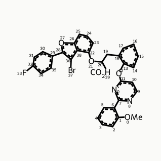 COc1ccccc1-c1nccc(Oc2ccccc2CC(Oc2cccc3oc(-c4ccc(F)cc4)c(Br)c23)C(=O)O)n1